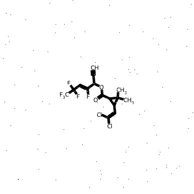 C#CC(OC(=O)C1C(C=C(Cl)Cl)C1(C)C)/C(F)=C/C(F)(F)C(F)(F)F